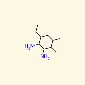 CCC1CC(C)C(C)C(N)C1N